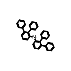 c1ccc(-c2cccc([N]c3cccc(-c4ccccc4)c3-c3ccccc3)c2-c2ccccc2)cc1